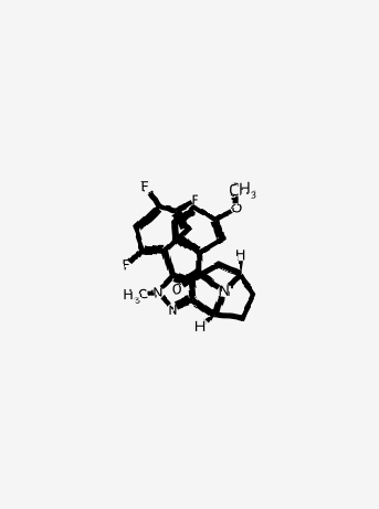 COc1cccc(C(=O)N2[C@H]3CC[C@@H]2c2nn(C)c(-c4cc(F)c(F)cc4F)c2C3)c1